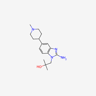 CN1CCC(c2ccc3c(c2)nc(N)n3CC(C)(C)O)CC1